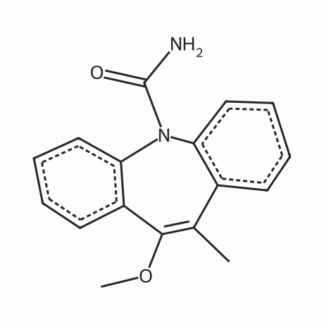 COC1=C(C)c2ccccc2N(C(N)=O)c2ccccc21